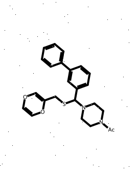 CC(=O)N1CCN(C(SCC2=COC=CO2)c2cccc(-c3ccccc3)c2)CC1